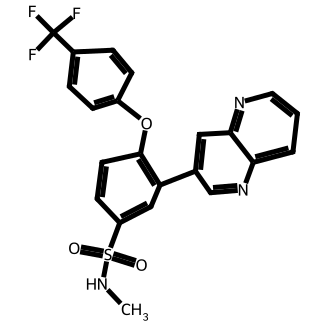 CNS(=O)(=O)c1ccc(Oc2ccc(C(F)(F)F)cc2)c(-c2cnc3cccnc3c2)c1